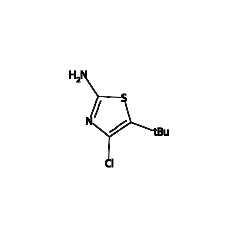 CC(C)(C)c1sc(N)nc1Cl